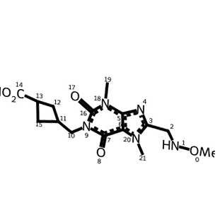 CONCc1nc2c(c(=O)n(CC3CC(C(=O)O)C3)c(=O)n2C)n1C